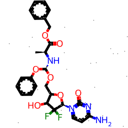 C[C@H](N[C@H](OCC1O[C@@H](n2ccc(N)nc2=O)C(F)(F)C1O)Oc1ccccc1)C(=O)OCc1ccccc1